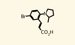 CC1CCCN1c1ccc(Br)cc1C=CC(=O)O